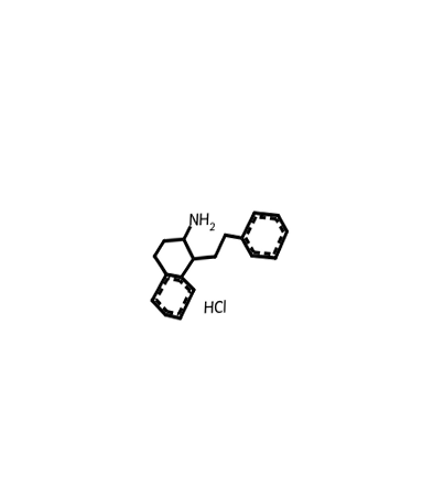 Cl.NC1CCc2ccccc2C1CCc1ccccc1